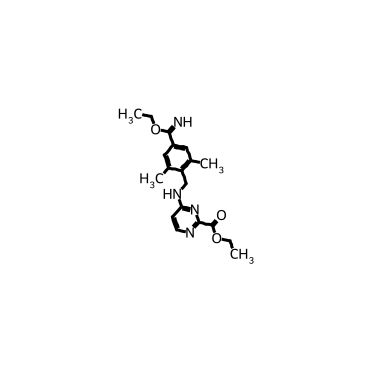 CCOC(=N)c1cc(C)c(CNc2ccnc(C(=O)OCC)n2)c(C)c1